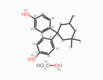 CC1CC(C)(C)CC(c2ccc(O)cc2)(c2ccc(O)cc2)C1.O=C(O)O